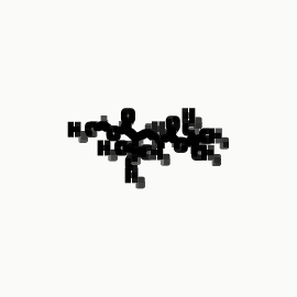 CCOC(=O)C(CNC(=O)OC(C)(C)C)[Si](C)(C)C